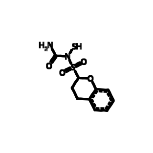 NC(=O)N(S)S(=O)(=O)C1CCc2ccccc2O1